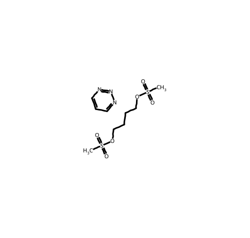 CS(=O)(=O)OCCCCOS(C)(=O)=O.c1cnnnc1